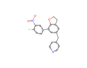 O=[N+]([O-])c1cc(-c2cc(Cc3ccncc3)cc3c2OCC3)ccc1F